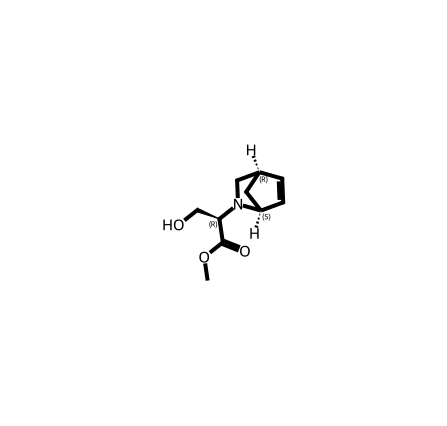 COC(=O)[C@@H](CO)N1C[C@H]2C=C[C@@H]1C2